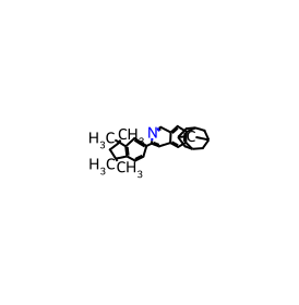 CC1(C)CC(C)(C)c2cc(-c3cc4cc5c(cc4cn3)C3CC4CC(C3)CC5C4)ccc21